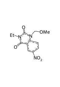 CCn1c(=O)c2cc([N+](=O)[O-])ccc2n(COC)c1=O